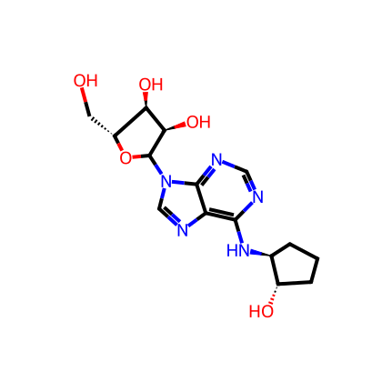 OC[C@H]1OC(n2cnc3c(N[C@H]4CCC[C@@H]4O)ncnc32)[C@H](O)[C@@H]1O